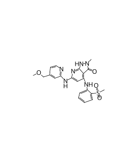 COCc1ccnc(Nc2cc(Nc3ccccc3S(C)(=O)=O)c3c(=O)n(C)[nH]c3n2)c1